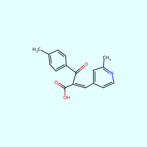 Cc1ccc(C(=O)/C(=C\c2ccnc(C)c2)C(=O)O)cc1